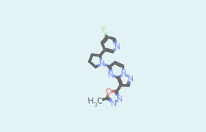 Cc1nnc(-c2cnn3ccc(N4CCCC4c4cncc(F)c4)nc23)o1